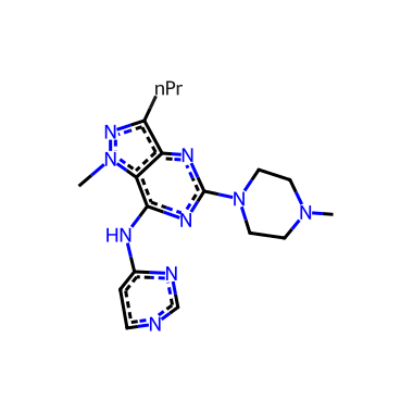 CCCc1nn(C)c2c(Nc3ccncn3)nc(N3CCN(C)CC3)nc12